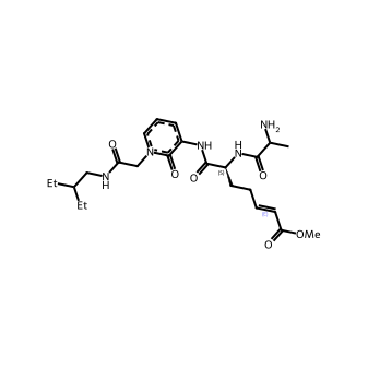 CCC(CC)CNC(=O)Cn1cccc(NC(=O)[C@H](CC/C=C/C(=O)OC)NC(=O)C(C)N)c1=O